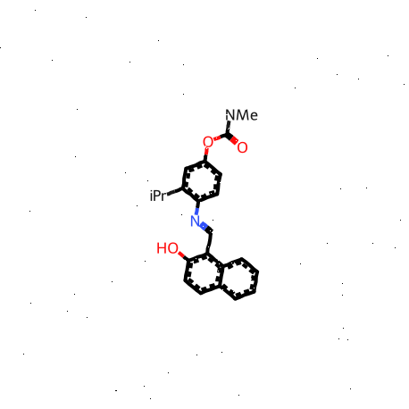 CNC(=O)Oc1ccc(/N=C/c2c(O)ccc3ccccc23)c(C(C)C)c1